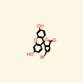 O=C1OC2(c3ccc(O)cc3Oc3cc(O)ccc32)c2cc(Br)ccc21